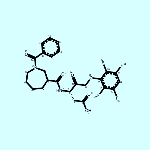 O=C(O)C[C@H](NC(=O)C1CCCCN(C(=O)c2ccccc2)C1)C(=O)COc1c(F)c(F)cc(F)c1F